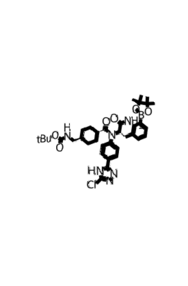 CC(C)(C)OC(=O)NC[C@H]1CC[C@H](C(=O)N(c2ccc(-c3nnc(Cl)[nH]3)cc2)[C@@H](Cc2cccc(B3OC(C)(C)C(C)(C)O3)c2)C(N)=O)CC1